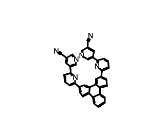 N#Cc1cncc(-c2cccc(-c3ccc4c5ccccc5c5ccc(-c6cccc(-c7cncc(C#N)c7)n6)cc5c4c3)n2)c1